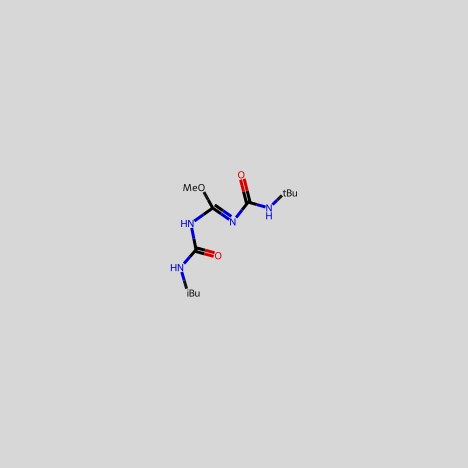 CCC(C)NC(=O)NC(=NC(=O)NC(C)(C)C)OC